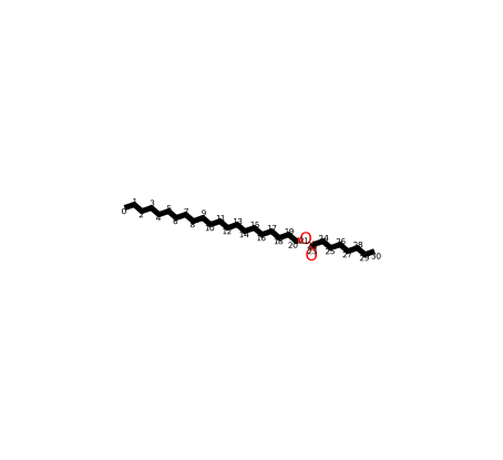 CCCCCCCCCCCCCCCCCCCCCOC(=O)CCCCCCC